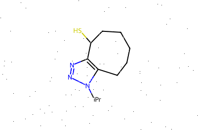 CC(C)n1nnc2c1CCCCCC2S